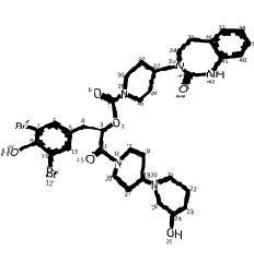 O=C(O[C@H](Cc1cc(Br)c(O)c(Br)c1)C(=O)N1CCC(N2CCCC(O)C2)CC1)N1CCC(N2CCc3ccccc3NC2=O)CC1